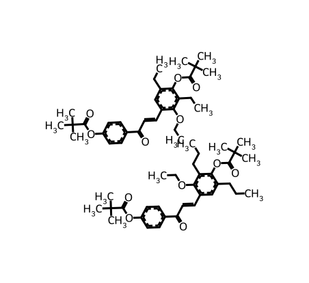 CCCc1cc(C=CC(=O)c2ccc(OC(=O)C(C)(C)C)cc2)c(OCC)c(CCC)c1OC(=O)C(C)(C)C.CCOc1c(C=CC(=O)c2ccc(OC(=O)C(C)(C)C)cc2)cc(CC)c(OC(=O)C(C)(C)C)c1CC